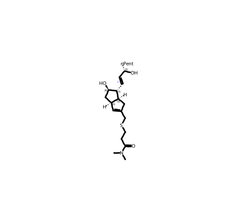 CCCCC[C@H](O)/C=C/[C@@H]1[C@H]2CC(CSCCC(=O)N(C)C)=C[C@H]2C[C@H]1O